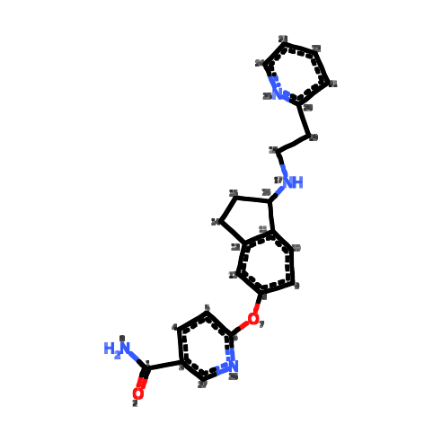 NC(=O)c1ccc(Oc2ccc3c(c2)CCC3NCCc2ccccn2)nc1